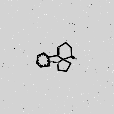 CCCN1CCCC12C(=O)CCC=C2c1ccccc1